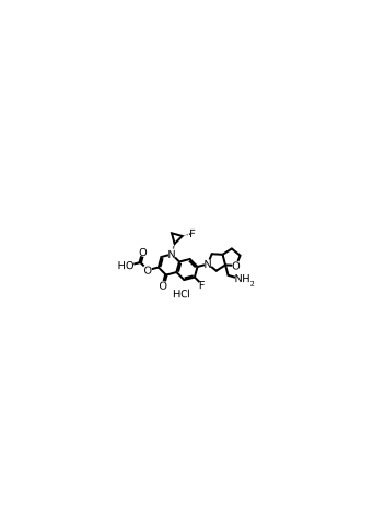 Cl.NCC12CN(c3cc4c(cc3F)c(=O)c(OC(=O)O)cn4[C@@H]3C[C@@H]3F)CC1CCO2